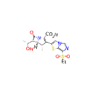 CCS(=O)(=O)c1ncn2cc(C3=C(C(=O)O)N4C(=O)[C@H]([C@@H](C)O)[C@H]4[C@H]3C)sc12